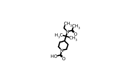 CCN(C(C)=O)C(C)(C)C1CCN(C(=O)O)CC1